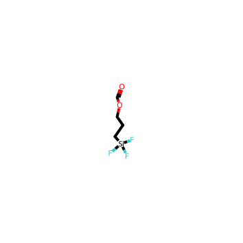 O=COCCC[Si](F)(F)F